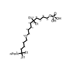 CCCCCC(CC)(CC)CCCCOCCCCC(CC)(CC)CCCCOP(=O)(O)O